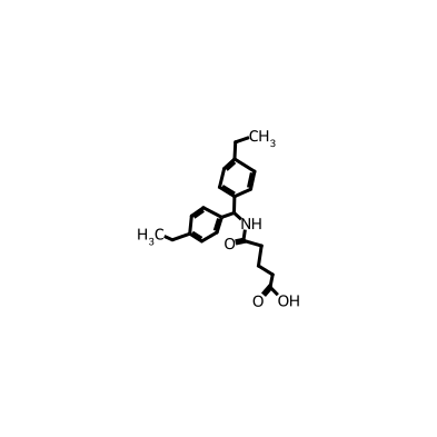 CCc1ccc(C(NC(=O)CCCC(=O)O)c2ccc(CC)cc2)cc1